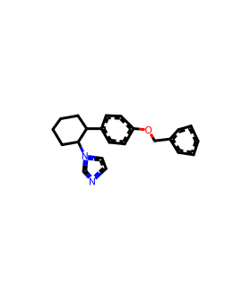 c1ccc(COc2ccc(C3CCCCC3n3ccnc3)cc2)cc1